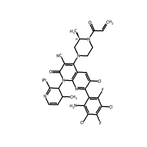 C=CC(=O)N1CCN(c2c(C#N)c(=O)n(C3C(C(C)C)=NC=CC3C)c3nc(-c4c(N)c(Cl)c(F)c(Cl)c4F)c(Cl)cc23)C[C@H]1C